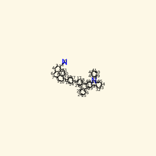 N#Cc1ccc2ccc3ccc(-c4ccc(-c5ccc6c(c5)c5ccccc5c5cc7c8ccccc8n(-c8ccccc8)c7cc65)cc4)c4ccc1c2c34